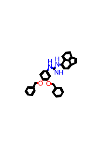 N=C(Nc1ccc(OCc2ccccc2)c(OCc2ccccc2)c1)Nc1ccc2c3c(cccc13)C=C2